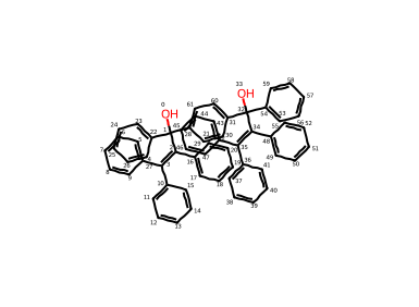 OC(C(=C(c1ccccc1)c1ccccc1)c1ccccc1)(c1ccccc1)c1ccc(C(O)(C(=C(c2ccccc2)c2ccccc2)c2ccccc2)c2ccccc2)cc1